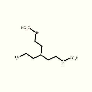 NCCN(CCNC(=O)O)CCNC(=O)O